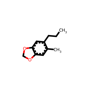 CCCc1cc2c(cc1C)OCO2